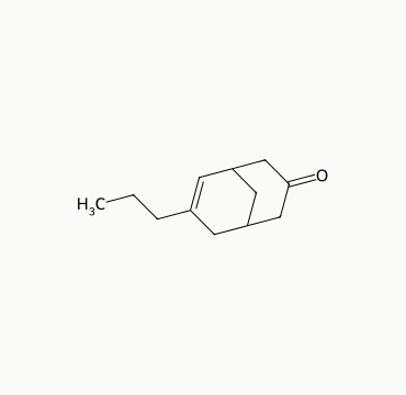 CCCC1=CC2CC(=O)CC(C1)C2